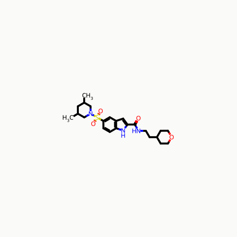 CC1CC(C)CN(S(=O)(=O)c2ccc3[nH]c(C(=O)NCCC4CCOCC4)cc3c2)C1